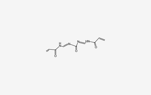 C=CC(=O)NC=NC(=O)N=CNC(=O)C=C